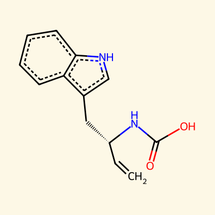 C=C[C@H](Cc1c[nH]c2ccccc12)NC(=O)O